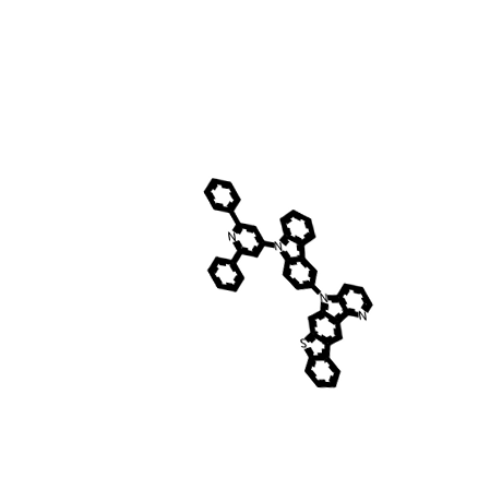 c1ccc(-c2cc(-n3c4ccccc4c4cc(-n5c6cc7sc8ccccc8c7cc6c6ncccc65)ccc43)cc(-c3ccccc3)n2)cc1